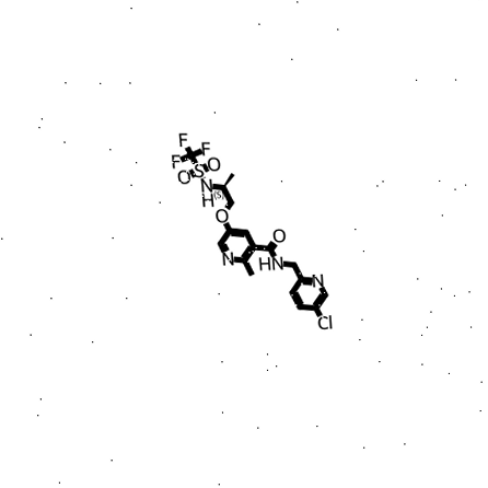 Cc1ncc(OC[C@H](C)NS(=O)(=O)C(F)(F)F)cc1C(=O)NCc1ccc(Cl)cn1